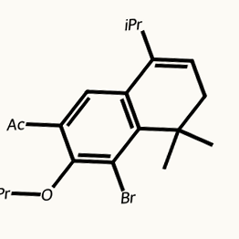 CC(=O)c1cc2c(c(Br)c1OC(C)C)C(C)(C)CC=C2C(C)C